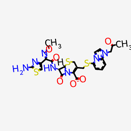 CO/N=C(\C(=O)N[C@@H]1C(=O)N2C(C(=O)[O-])=C(CSc3cccc4n(CC(C)=O)cc[n+]34)CS[C@H]12)c1csc(N)n1